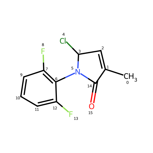 CC1=CC(Cl)N(c2c(F)cccc2F)C1=O